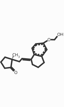 C[C@@]1(CC=C2CCCc3cc(OCO)ccc32)CCCC1=O